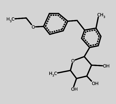 CCOc1ccc(Cc2cc(C3OC(C)C(O)C(O)C3O)ccc2C)cc1